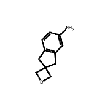 Nc1ccc2c(c1)CC1(COC1)C2